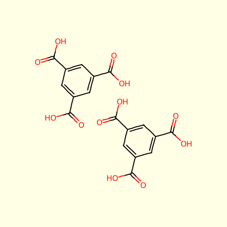 O=C(O)c1cc(C(=O)O)cc(C(=O)O)c1.O=C(O)c1cc(C(=O)O)cc(C(=O)O)c1